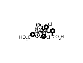 COc1cc(C(=O)O)ccc1NC(=O)[C@@H]1N[C@@H](CC(C)(C)C)[C@@]2(CN(Cc3ccccc3CC(=O)O)c3cc(Cl)ccc32)[C@H]1c1cccc(Cl)c1F